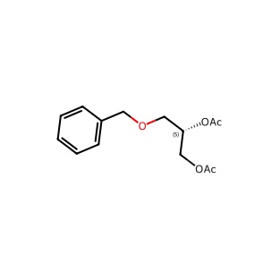 CC(=O)OC[C@H](COCc1ccccc1)OC(C)=O